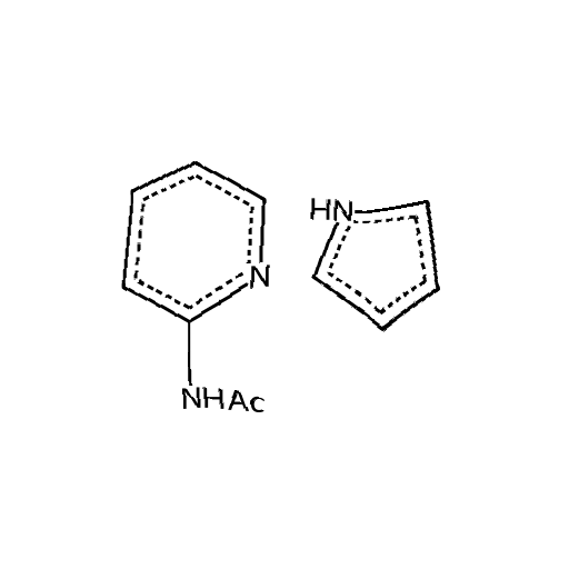 CC(=O)Nc1ccccn1.c1cc[nH]c1